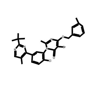 Cc1cccc(COc2nc(C)n(-c3cc(-c4nc(C(C)(C)C)ncc4C)ccc3Cl)c(=O)c2Br)c1